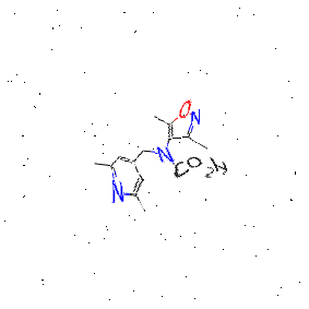 Cc1cc(CN(C(=O)O)c2c(C)noc2C)cc(C)n1